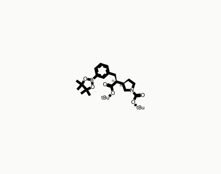 CC(C)(C)OC(=O)[C@@H](Cc1cccc(B2OC(C)(C)C(C)(C)O2)c1)[C@H]1CCN(C(=O)OC(C)(C)C)C1